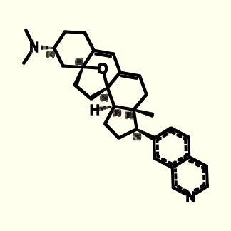 CN(C)[C@@H]1CCC2=CC3=CC[C@]4(C)[C@@H](c5ccc6ccncc6c5)CC[C@H]4[C@@]34CC[C@]2(C1)O4